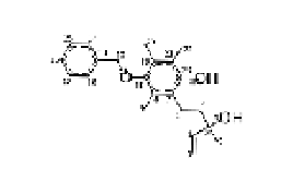 C=CC(C)(O)CCc1c(C)c(OCc2ccccc2)c(C)c(C)c1O